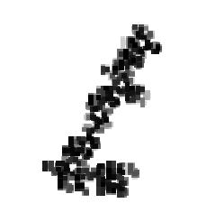 Cc1cc(=O)nc(NC(=O)NCC2(C)CC(NC(=O)NC(=O)/C=C/c3ccc(NC(=O)NC4CC(C)(C)CC(C)(CNC(=O)Nc5nc(=O)cc(C)[nH]5)C4)cc3)CC(C)(C)C2)[nH]1